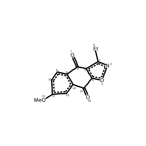 CCc1noc2c1C(=O)c1ccc(OC)cc1C2=O